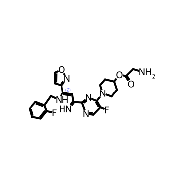 N=C(/C=C(\NCc1ccccc1F)c1ccon1)c1ncc(F)c(N2CCC(OC(=O)CN)CC2)n1